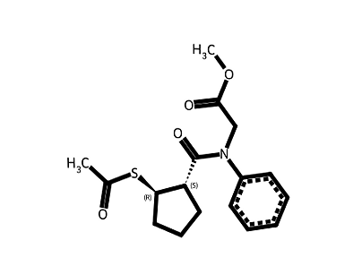 COC(=O)CN(C(=O)[C@@H]1CCC[C@H]1SC(C)=O)c1ccccc1